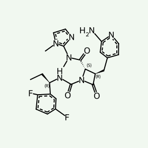 CC[C@@H](NC(=O)N1C(=O)[C@H](Cc2ccnc(N)c2)[C@H]1C(=O)N(C)c1nccn1C)c1cc(F)ccc1F